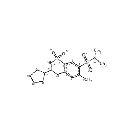 Cc1cc2c(cc1S(=O)(=O)N(C)C)S(=O)(=O)NC(C1CCCC1)C2